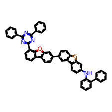 c1ccc(-c2nc(-c3ccccc3)nc(-c3cccc4c3oc3cc(-c5ccc6sc7cc(Nc8ccccc8-c8ccccc8)ccc7c6c5)ccc34)n2)cc1